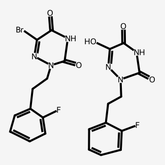 O=c1[nH]c(=O)n(CCc2ccccc2F)nc1Br.O=c1[nH]c(=O)n(CCc2ccccc2F)nc1O